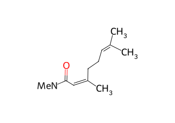 CNC(=O)C=C(C)CCC=C(C)C